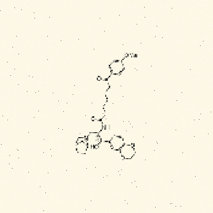 COc1ccc(C(=O)CCCCCC(=O)N[C@H](CN2CC3CCC2C3)[C@H](O)c2ccc3c(c2)OCCO3)cc1